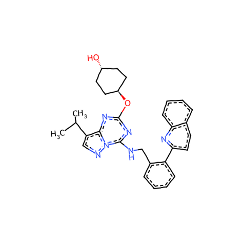 CC(C)c1cnn2c(NCc3ccccc3-c3ccc4ccccc4n3)nc(O[C@H]3CC[C@H](O)CC3)nc12